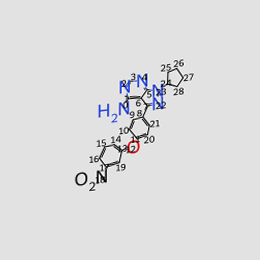 Nc1ncnc2c1c(-c1ccc(Oc3cccc([N+](=O)[O-])c3)cc1)nn2C1CCCC1